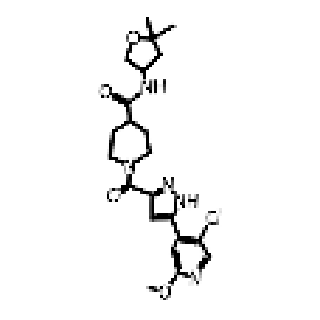 COc1cc(-c2cc(C(=O)N3CCC(C(=O)NC4COC(C)(C)C4)CC3)n[nH]2)c(Cl)cn1